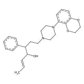 CC=CC(O)C(CCN1CCN(c2cccc3c2OCCO3)CC1)c1ccccc1